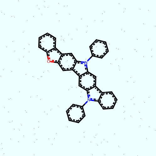 c1ccc(-n2c3ccccc3c3cc4c(cc32)c2cc3oc5ccccc5c3cc2n4-c2ccccc2)cc1